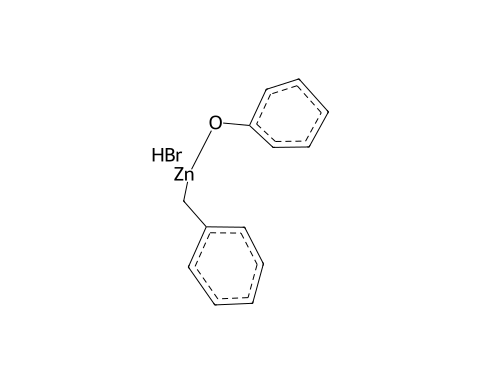 Br.c1ccc([CH2][Zn][O]c2ccccc2)cc1